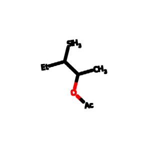 CCC([SiH3])C(C)OC(C)=O